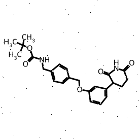 CC(C)(C)OC(=O)NCc1ccc(COc2cccc(C3CCC(=O)NC3=O)c2)cc1